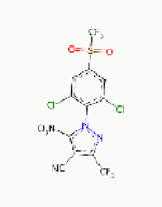 N#Cc1c(C(F)(F)F)nn(-c2c(Cl)cc(S(=O)(=O)C(F)(F)F)cc2Cl)c1[N+](=O)[O-]